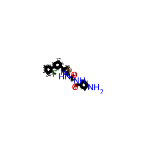 Nc1ccc(C(=O)NCC(=O)Nc2nc(-c3cccc(-c4ccccc4F)c3)cs2)cc1